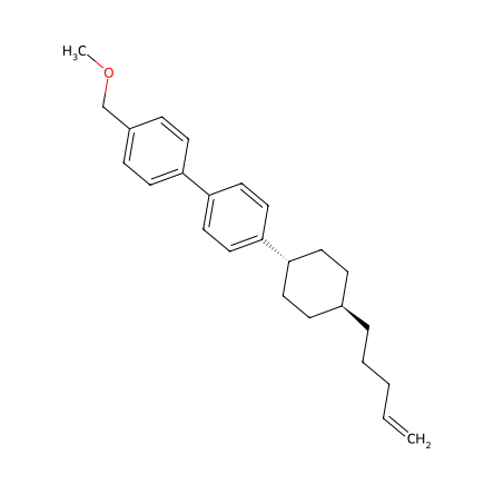 C=CCCC[C@H]1CC[C@H](c2ccc(-c3ccc(COC)cc3)cc2)CC1